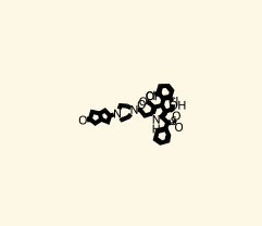 O=S=C(C1=C(C(=O)O)C(c2c(Cl)cccc2Cl)C(C(=O)O)=C(CC(=O)N2CCN(C3CC4CC(=O)CC4C3)CC2)N1)c1ccccc1